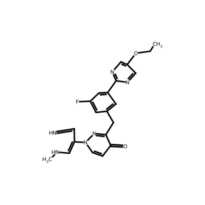 CCOc1cnc(-c2cc(F)cc(Cc3nn(/C(C=N)=C/NC)ccc3=O)c2)nc1